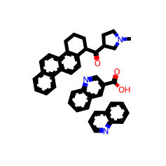 CN1CCC(C(=O)C2CCCc3c2ccc2c3ccc3ccccc32)C1.O=C(O)c1cnc2ccccc2c1.c1ccc2ncccc2c1